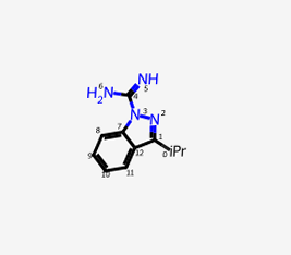 CC(C)c1nn(C(=N)N)c2ccccc12